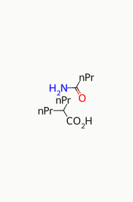 CCCC(CCC)C(=O)O.CCCC(N)=O